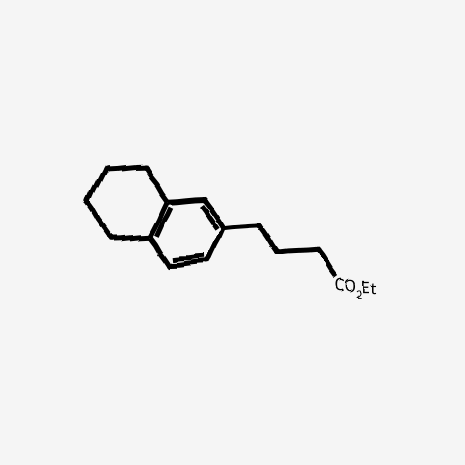 CCOC(=O)CCCc1ccc2c(c1)CCCC2